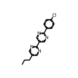 CCCc1cnc(-c2cnc(-c3ccc(Cl)cc3)nc2)nc1